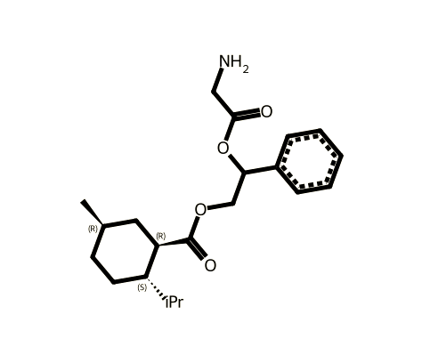 CC(C)[C@@H]1CC[C@@H](C)C[C@H]1C(=O)OCC(OC(=O)CN)c1ccccc1